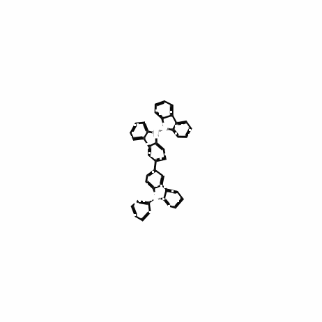 c1ccc(-n2c3ccccc3c3cc(-c4ccc5c(c4)c4ccccc4n5-n4c5ccccc5c5ccccc54)ccc32)cc1